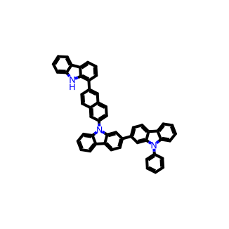 c1ccc(-n2c3ccccc3c3ccc(-c4ccc5c6ccccc6n(-c6ccc7cc(-c8cccc9c8[nH]c8ccccc89)ccc7c6)c5c4)cc32)cc1